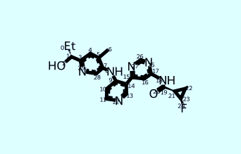 CC[C@@H](O)c1cc(C)c(Nc2ccncc2-c2cc(NC(=O)[C@H]3C[C@H]3F)ncn2)cn1